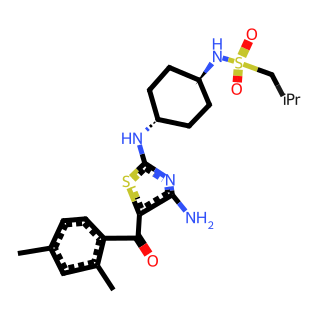 Cc1ccc(C(=O)c2sc(N[C@H]3CC[C@H](NS(=O)(=O)CC(C)C)CC3)nc2N)c(C)c1